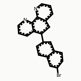 Brc1ccc2cc(-c3cc4cccnc4c4ncccc34)ccc2c1